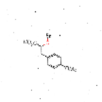 CCOC(Cc1ccc(OC)cc1)C(=O)O